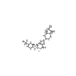 C[C@@H](Nc1ncc(-c2ccc3[nH]c(=O)oc3c2)s1)[C@H](N)Cc1ccc(C(F)(F)F)cc1